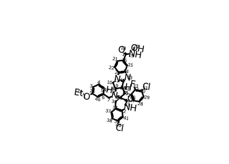 CCOc1cccc(CN2[C@H]3Cn4c(nc5cc(C(=O)NO)ccc54)[C@H]3[C@H](c3cccc(Cl)c3F)[C@@]23Cc2ccc(Cl)cc2NC3=O)c1